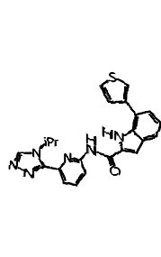 CC(C)n1cnnc1-c1cccc(NC(=O)c2cc3cccc(-c4ccsc4)c3[nH]2)n1